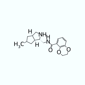 CC1C[C@H]2CN[C@H](CNC(=O)c3cccc4c3OCCO4)[C@H]2C1